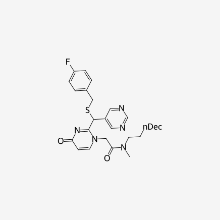 CCCCCCCCCCCCN(C)C(=O)Cn1ccc(=O)nc1C(SCc1ccc(F)cc1)c1cncnc1